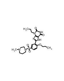 CCCOc1ccc(S(=O)(=O)N2CCCN(C)CC2)cc1-c1nc2c([nH]1)c(=O)[nH]c(=O)n2CCC